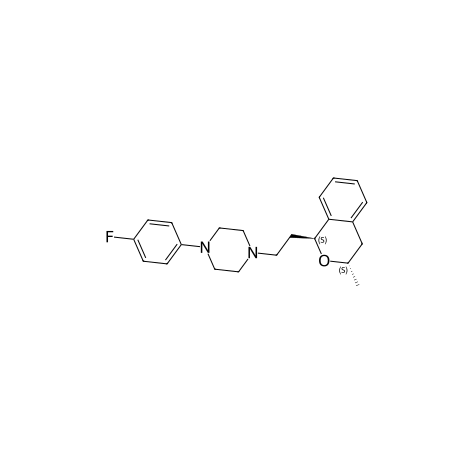 C[C@H]1Cc2ccccc2[C@H](CCN2CCN(c3ccc(F)cc3)CC2)O1